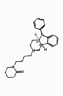 O=C1CCCCN1CCCCN1CC[C@@H]2[C@@H](C1)c1ccccc1N2c1ccccc1